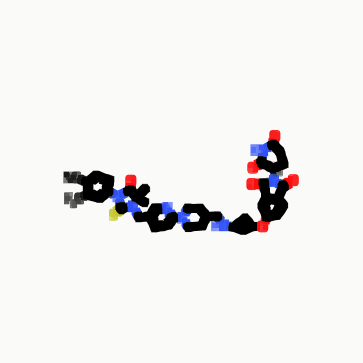 CC1(C)C(=O)N(c2ccc(C#N)c(C(F)(F)F)c2)C(=S)N1Cc1ccc(N2CCC(CNC3CC(Oc4ccc5c(c4)C(=O)N([C@@H]4CCC(=O)NC4=O)C5=O)C3)CC2)nc1